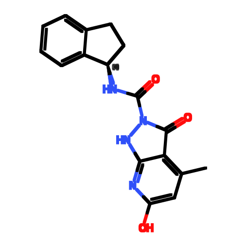 Cc1cc(O)nc2[nH]n(C(=O)N[C@@H]3CCc4ccccc43)c(=O)c12